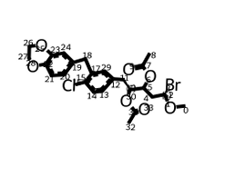 CO[C@@H](Br)CC(OC(C)=O)[C@H](Cc1ccc(Cl)c(Cc2ccc3c(c2)OCCO3)c1)OC(C)=O